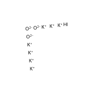 I.[K+].[K+].[K+].[K+].[K+].[K+].[K+].[O-2].[O-2].[O-2]